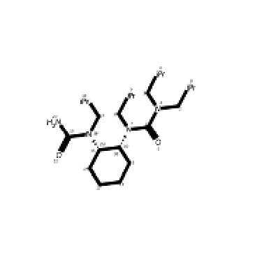 CC(C)CN(CC(C)C)C(=O)N(CC(C)C)[C@@H]1CCCC[C@@H]1N(CC(C)C)C(N)=O